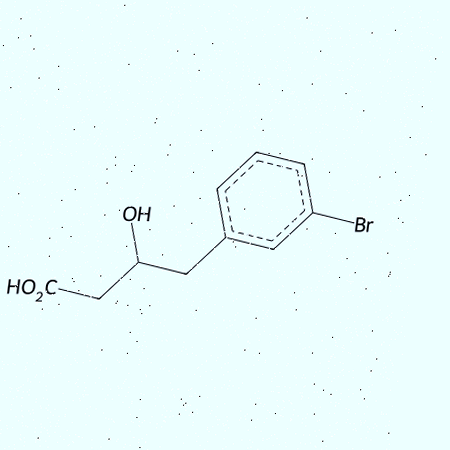 O=C(O)CC(O)Cc1cccc(Br)c1